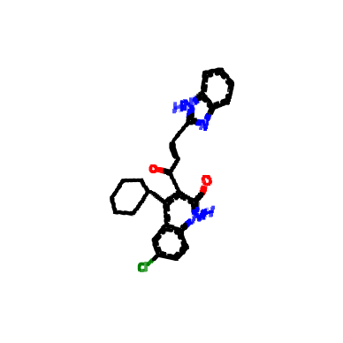 O=C(C=Cc1nc2ccccc2[nH]1)c1c(C2CCCCC2)c2cc(Cl)ccc2[nH]c1=O